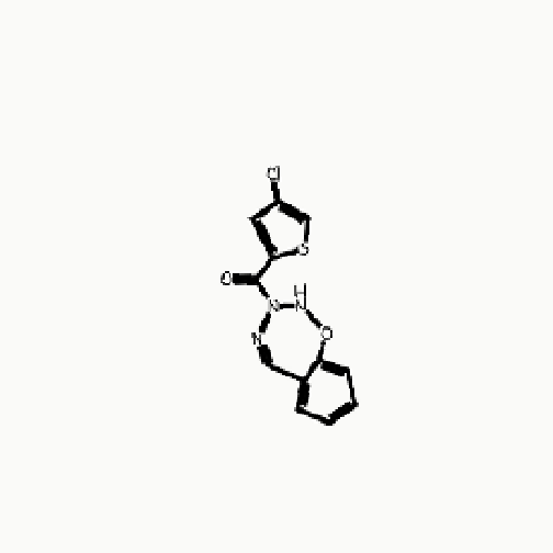 O=C(c1cc(Cl)cs1)n1ncc2ccccc2o[nH]1